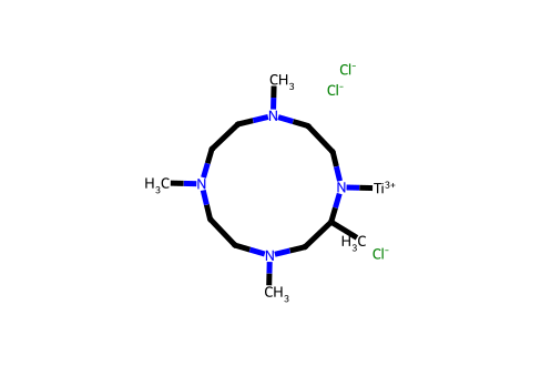 CC1CN(C)CCN(C)CCN(C)CC[N]1[Ti+3].[Cl-].[Cl-].[Cl-]